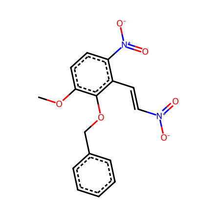 COc1ccc([N+](=O)[O-])c(/C=C/[N+](=O)[O-])c1OCc1ccccc1